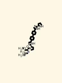 COO/C=N\[C@H](C(=O)N1CCC[C@H]1c1ncc(-c2ccc(-c3ccc(-c4cnc([C@@H]5CCCN5)[nH]4)cc3)cc2)[nH]1)[C@@H](C)OC